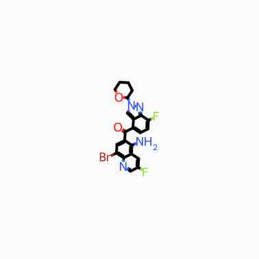 Nc1c(C(=O)c2ccc(F)c3nn(C4CCCCO4)cc23)cc(Br)c2ncc(F)cc12